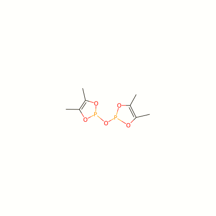 CC1=C(C)OP(OP2OC(C)=C(C)O2)O1